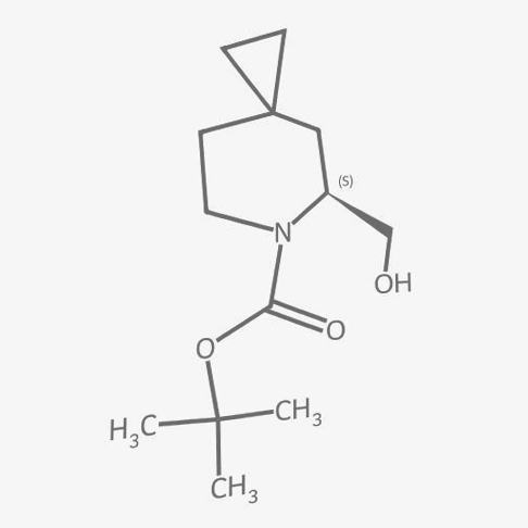 CC(C)(C)OC(=O)N1CCC2(CC2)C[C@H]1CO